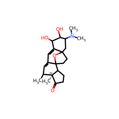 CC1C=C2C=C3C(O)C(O)C(N(C)C)CC34CCC2(O4)C2CCC(=O)[C@@]12C